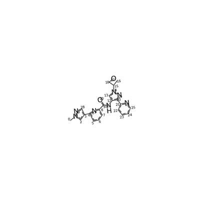 Cn1cc(-c2cccc(C(=O)Nc3cn(C4COC4)nc3-c3ccccn3)n2)cn1